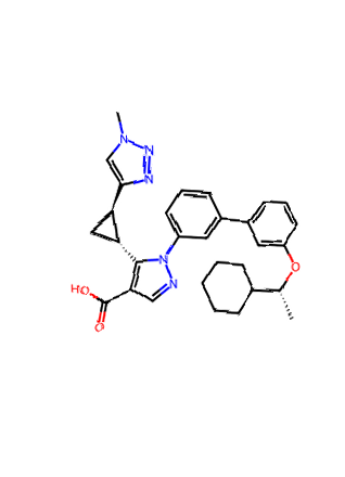 C[C@@H](Oc1cccc(-c2cccc(-n3ncc(C(=O)O)c3[C@@H]3C[C@H]3c3cn(C)nn3)c2)c1)C1CCCCC1